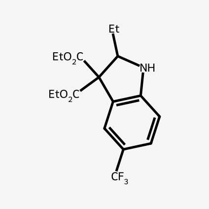 CCOC(=O)C1(C(=O)OCC)c2cc(C(F)(F)F)ccc2NC1CC